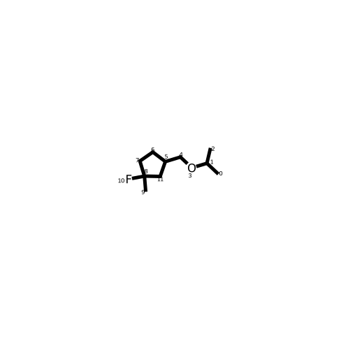 CC(C)OCC1CCC(C)(F)C1